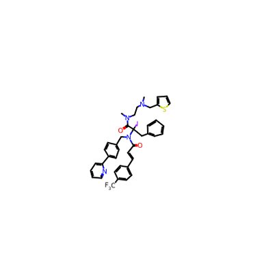 CN(CCN(C)C(=O)C(I)(Cc1ccccc1)N(Cc1ccc(-c2ccccn2)cc1)C(=O)C=Cc1ccc(C(F)(F)F)cc1)Cc1cccs1